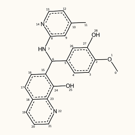 COc1ccc(C(Nc2cc(C)ccn2)c2ccc3cccnc3c2O)cc1O